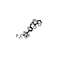 CC(C)N(Cc1ccc(-c2noc(C(F)(F)F)n2)s1)C(=O)C1CCCO1